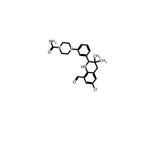 CC1(C)Cc2cc(Cl)cc([C]=O)c2NC1c1cccc(N2CCN(C(N)=O)CC2)c1